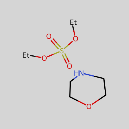 C1COCCN1.CCOS(=O)(=O)OCC